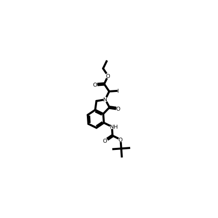 CCOC(=O)C(I)N1Cc2cccc(NC(=O)OC(C)(C)C)c2C1=O